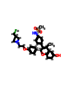 CC1=C(c2ccc(NS(C)(=O)=O)cc2)[C@@H](c2ccc(OCCN3CC(CF)C3)cc2)Oc2ccc(O)cc21